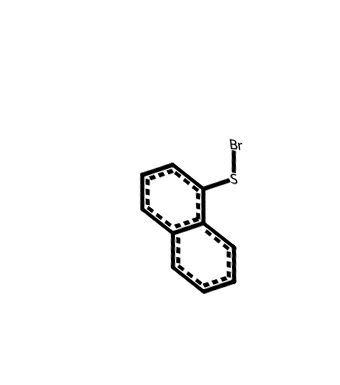 BrSc1cccc2ccccc12